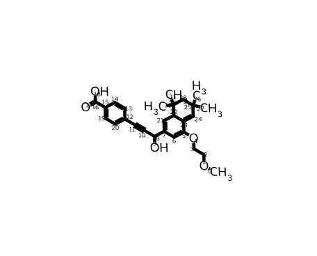 COCCOC1=CC(C(O)C#Cc2ccc(C(=O)O)cc2)=CC2C1=CC(C)(C)CC2(C)C